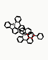 C1=CCCC(c2ccc(N(c3ccc(-c4ccccc4-n4c5ccccc5c5ccccc54)cc3)c3ccccc3-c3cccc4oc5ccc6ccccc6c5c34)cc2)=C1